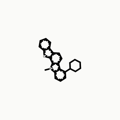 Cn1c2cccc(C3CCCCC3)c2c2ccc3c4ccccc4oc3c21